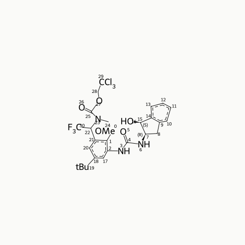 COc1c(NC(=O)N[C@@H]2Cc3ccccc3[C@@H]2O)cc(C(C)(C)C)cc1C(N(C)C(=O)OCC(Cl)(Cl)Cl)C(F)(F)F